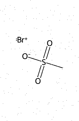 CS(=O)(=O)[O-].[Br+]